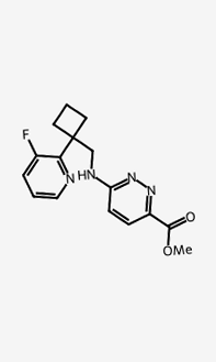 COC(=O)c1ccc(NCC2(c3ncccc3F)CCC2)nn1